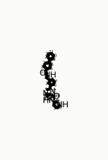 Nc1ncc(-c2cccc(CNC(=O)c3ccc(-c4ccccc4)cc3)c2)nc1C(=O)N[C@H]1CCCNC1